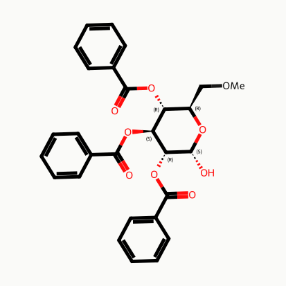 COC[C@H]1O[C@H](O)[C@H](OC(=O)c2ccccc2)[C@@H](OC(=O)c2ccccc2)[C@@H]1OC(=O)c1ccccc1